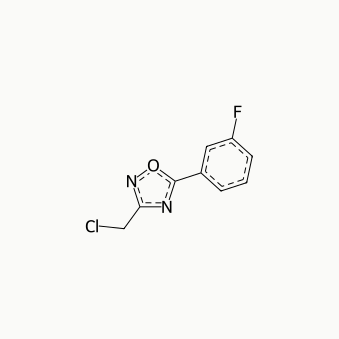 Fc1cccc(-c2nc(CCl)no2)c1